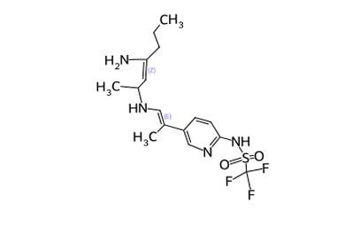 CCC/C(N)=C/C(C)N/C=C(\C)c1ccc(NS(=O)(=O)C(F)(F)F)nc1